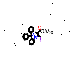 COC(=O)c1cn(C(c2ccccc2)(c2ccccc2)c2ccccc2)nc1CI